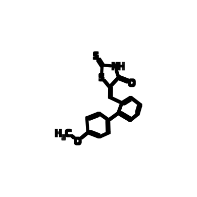 COc1ccc(-c2ccccc2C=C2SC(=S)NC2=O)cc1